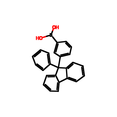 OB(O)c1cccc(C2(c3ccccc3)c3ccccc3-c3ccccc32)c1